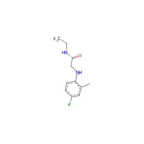 Cc1cc(F)ccc1NCC(=O)NCC(F)(F)F